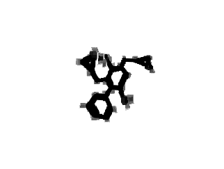 Nc1c(CC2CO2)cc(O)c(-c2ccccc2)c1CC1CO1